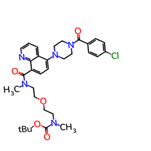 CN(CCOCCN(C)C(=O)c1ccc(N2CCN(C(=O)c3ccc(Cl)cc3)CC2)c2cccnc12)C(=O)OC(C)(C)C